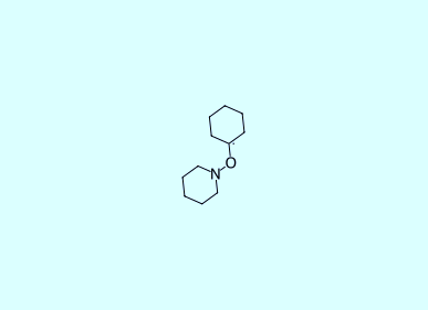 C1CC[C](ON2CCCCC2)CC1